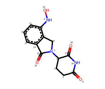 O=C1CCC(N2Cc3c(NO)cccc3C2=O)C(=O)N1